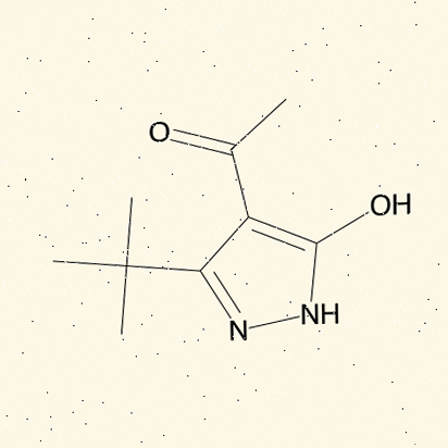 CC(=O)c1c(C(C)(C)C)n[nH]c1O